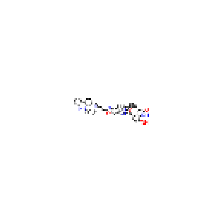 CC(C)(C)[Si](C)(C)O[C@@H](CNCc1ccc2nc(CC/C=C/c3ccc(-c4ccccc4)c(NC(=O)O)c3)oc2c1)c1ccc(O)c2[nH]c(=O)ccc12